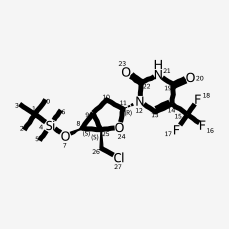 CC(C)(C)[Si](C)(C)O[C@H]1C2C[C@H](n3cc(C(F)(F)F)c(=O)[nH]c3=O)O[C@@]21CCl